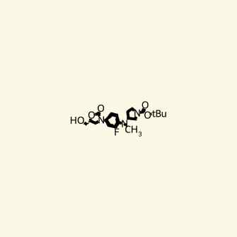 CN(c1ccc(N2C[C@H](CO)OC2=O)cc1F)[C@@H]1CCN(C(=O)OC(C)(C)C)C1